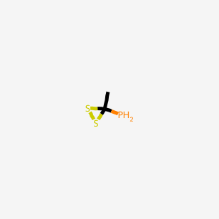 CC1(P)SS1